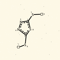 ClSc1nnc(SCl)s1